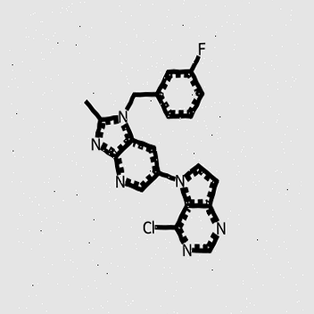 Cc1nc2ncc(-n3ccc4ncnc(Cl)c43)cc2n1Cc1cccc(F)c1